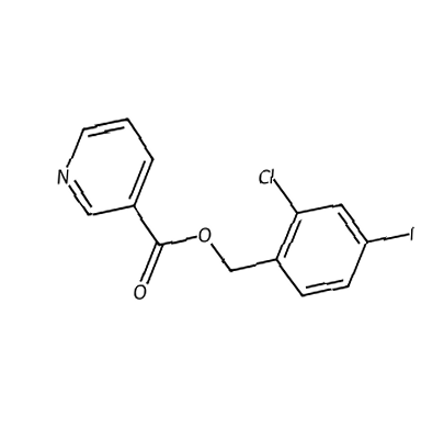 O=C(OCc1ccc(I)cc1Cl)c1cccnc1